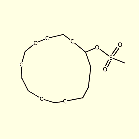 CS(=O)(=O)OC1CCCCCCCCCCCCCC1